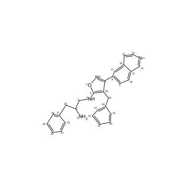 NC(CNc1onc(-c2ccc3cnccc3c2)c1Cc1ccccc1)Cc1ccccc1